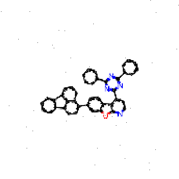 c1ccc(-c2nc(-c3ccccc3)nc(-c3ccnc4oc5cc(-c6ccc7c8c(cccc68)-c6ccccc6-7)ccc5c34)n2)cc1